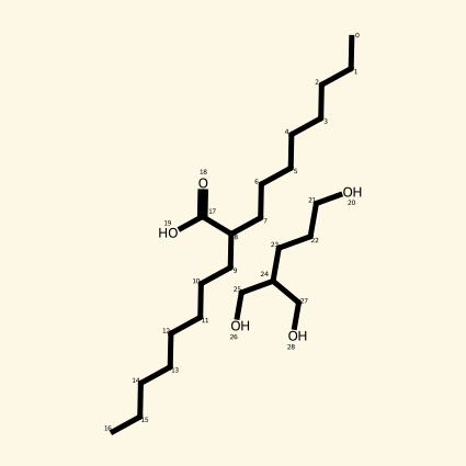 CCCCCCCCC(CCCCCCCC)C(=O)O.OCCCC(CO)CO